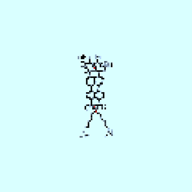 CCCCC(CC)COC(=O)c1ccc2c3ccc(C(=O)OCCCCCCN(C)C)c4c(C(=O)OCCCCCCN(C)C)ccc(c5ccc(C(=O)OCC(CC)CCCC)c1c25)c43